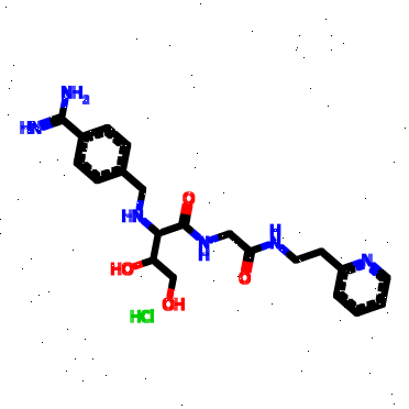 Cl.N=C(N)c1ccc(CNC(C(=O)NCC(=O)NCCc2ccccn2)C(O)CO)cc1